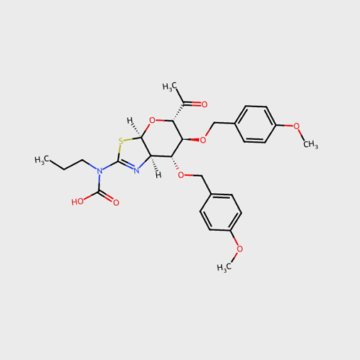 CCCN(C(=O)O)C1=N[C@@H]2[C@@H](OCc3ccc(OC)cc3)[C@H](OCc3ccc(OC)cc3)[C@@H](C(C)=O)O[C@@H]2S1